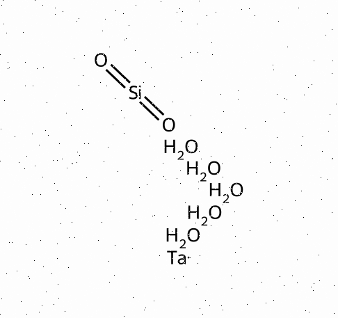 O.O.O.O.O.O=[Si]=O.[Ta]